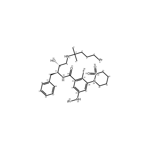 CC(C)CCCC(C)(C)NC[C@@H](O)[C@H](Cc1ccccc1)NC(=O)c1cc(NC(C)C)cc(N2CCCCS2(=O)=O)c1F